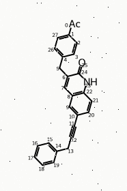 CC(=O)c1ccc(Cc2cc3cc(C#CCc4ccccc4)ccc3[nH]c2=O)cc1